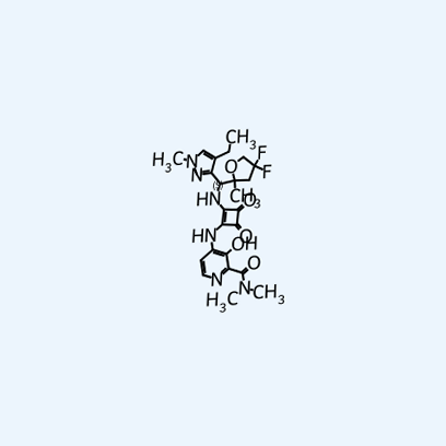 CCc1cn(C)nc1[C@H](Nc1c(Nc2ccnc(C(=O)N(C)C)c2O)c(=O)c1=O)C1(C)CC(F)(F)CO1